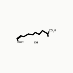 CCCCCCCC/C=C\CCCCCCC(C)C(=O)O.[KH]